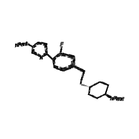 CCCCCc1ccc(-c2ccc(CC[C@H]3CC[C@H](CCCCC)CC3)cc2F)nc1